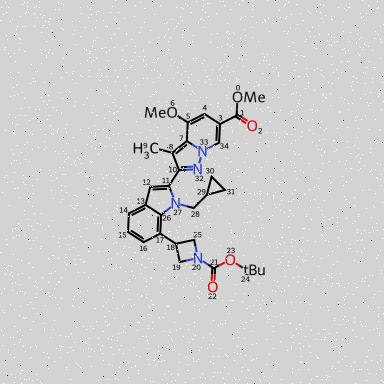 COC(=O)c1cc(OC)c2c(C)c(-c3cc4cccc(C5CN(C(=O)OC(C)(C)C)C5)c4n3CC3CC3)nn2c1